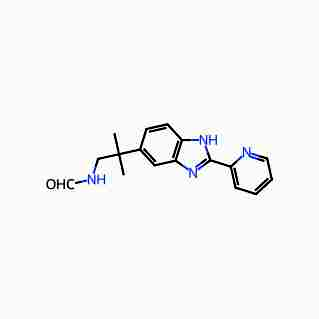 CC(C)(CNC=O)c1ccc2[nH]c(-c3ccccn3)nc2c1